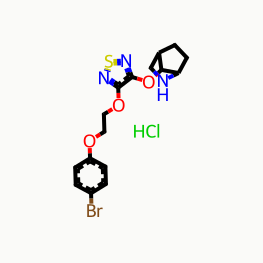 Brc1ccc(OCCOc2nsnc2OC2C3CCC2NC3)cc1.Cl